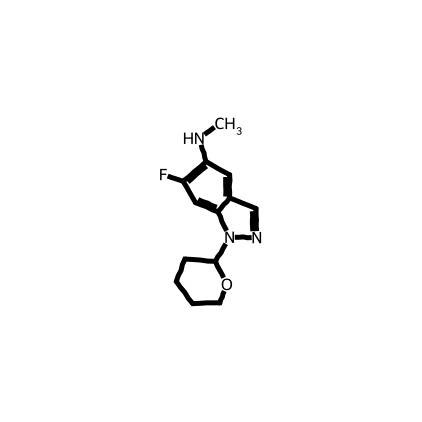 CNc1cc2cnn(C3CCCCO3)c2cc1F